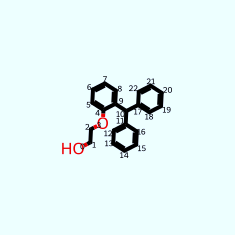 OCCOc1ccccc1C(c1ccccc1)c1ccccc1